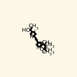 CCC(O)c1ccc(C#Cc2ccc3c(c2)C(C)(C)CC(C)(C)O3)nc1